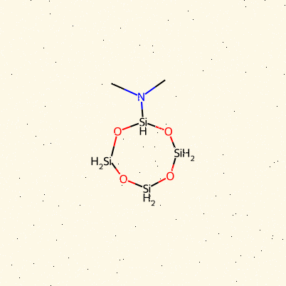 CN(C)[SiH]1O[SiH2]O[SiH2]O[SiH2]O1